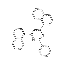 c1ccc(-c2nc(-c3cccc4ccccc34)cc(-c3cccc4ccccc34)n2)cc1